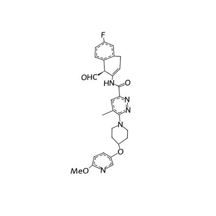 COc1ccc(OC2CCN(c3nnc(C(=O)NC4=CCc5cc(F)ccc5[C@@H]4C=O)cc3C)CC2)cn1